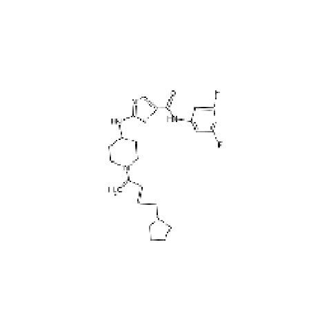 C=C(/C=C/CN1CCCC1)N1CCC(Nc2ncc(C(=O)Nc3cc(F)cc(F)c3)s2)CC1